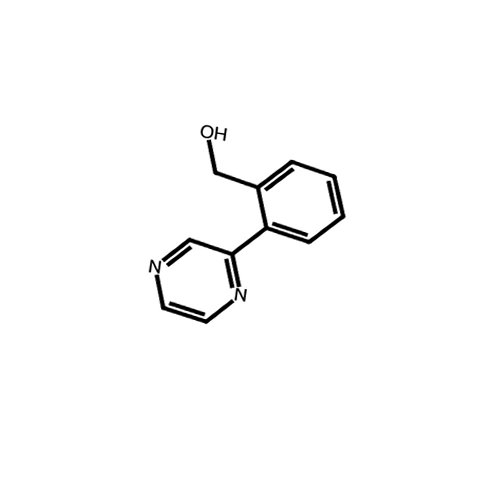 OCc1ccccc1-c1cnccn1